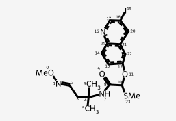 CON=CCC(C)(C)NC(=O)C(Oc1ccc2ncc(I)cc2c1)SC